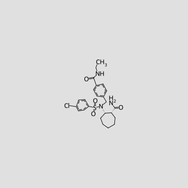 CCNC(=O)c1ccc(CN([C@H]2CCCCC[C@H]2C(N)=O)S(=O)(=O)c2ccc(Cl)cc2)cc1